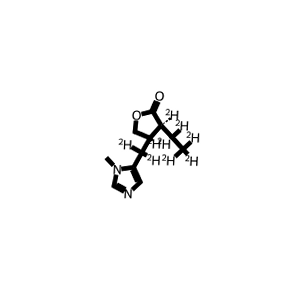 [2H]C([2H])([2H])C([2H])([2H])[C@]1([2H])C(=O)OC[C@]1([2H])C([2H])([2H])c1cncn1C